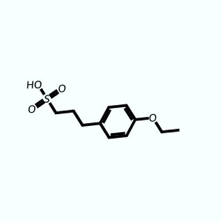 CCOc1ccc(CCCS(=O)(=O)O)cc1